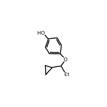 CCC(Oc1ccc(O)cc1)C1CC1